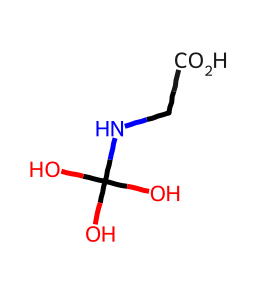 O=C(O)CNC(O)(O)O